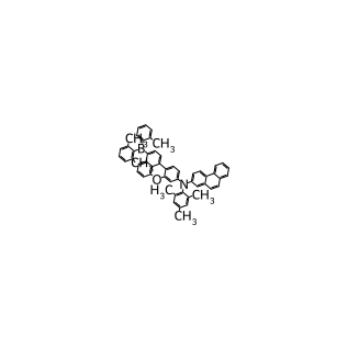 Cc1cc(C)c(N(c2ccc3c(c2)Oc2cccc4c(B(c5ccccc5C)c5c(C)cccc5C)ccc-3c24)c2ccc3c(ccc4ccccc43)c2)c(C)c1